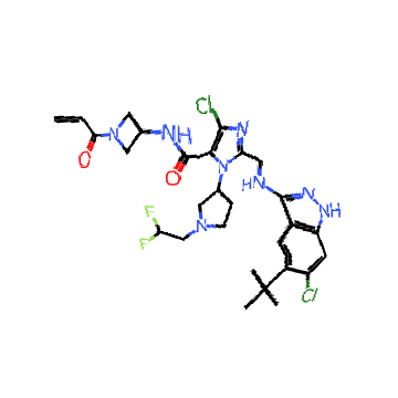 C=CC(=O)N1CC(NC(=O)c2c(Cl)nc(CNc3n[nH]c4cc(Cl)c(C(C)(C)C)cc34)n2C2CCN(CC(F)F)C2)C1